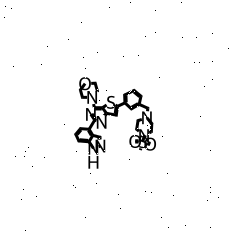 CS(=O)(=O)N1CCN(Cc2cccc(-c3cc4nc(-c5cccc6[nH]ncc56)nc(N5CCOCC5)c4s3)c2)CC1